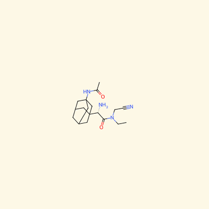 CCN(CC#N)C(=O)[C@@H](N)C12CC3CC(CC(NC(C)=O)(C3)C1)C2